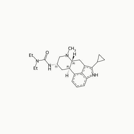 CCN(CC)C(=O)N[C@H]1C[C@@H]2c3cccc4[nH]c(C5CC5)c(c34)C[C@H]2N(C)C1